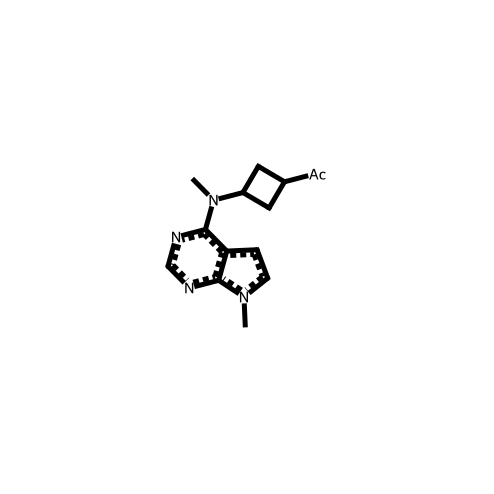 CC(=O)C1CC(N(C)c2ncnc3c2ccn3C)C1